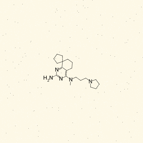 CN(CCCN1CCCC1)c1nc(N)nc2c1CCCC21CCCC1